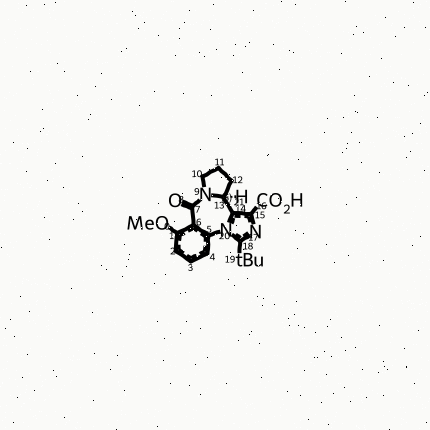 COc1cccc2c1C(=O)N1CCC[C@H]1c1c(C(=O)O)nc(C(C)(C)C)n1-2